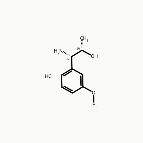 CCOc1cccc([C@H](N)[C@H](C)O)c1.Cl